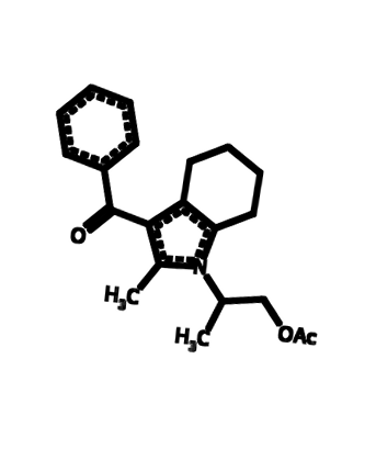 CC(=O)OCC(C)n1c(C)c(C(=O)c2ccccc2)c2c1CCCC2